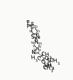 C[SiH2]OC(O[SiH2]C)C(C)(C)CCC1(C#N)CCN(c2nc3ccc(C(F)(F)F)cc3s2)CC1